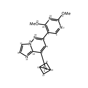 COc1ncc(-c2cc(N3CC4CC3C4)c3nccn3n2)c(OC)n1